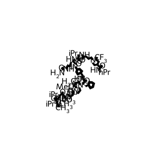 CCCNC(=O)C1CCN(CCCC(=O)N[C@H](C(=O)N[C@@H](CCCNC(N)=O)C(=O)Nc2ccc(CNC(=O)[C@H](Cc3ccccc3)NC(=O)[C@H](C)[C@@H](OC)[C@@H]3CCCN3C(=O)C[C@@H](OC)[C@H]([C@@H](C)CC)N(C)C(=O)[C@@H](NC(=O)[C@H](C(C)C)N(C)C)C(C)C)cc2)C(C)C)C(C(F)(F)F)C1